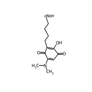 CCCCCCCCCCCCCC1=C(O)C(=O)C=C(N(C)C)C1=O